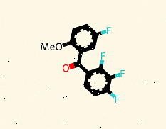 COc1ccc(F)cc1C(=O)c1ccc(F)c(F)c1F